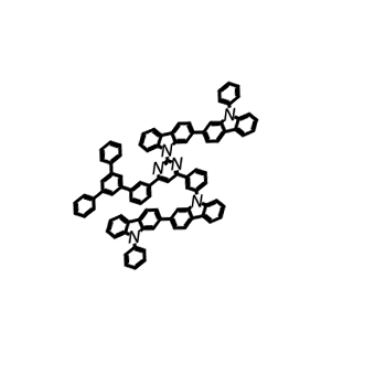 c1ccc(-c2cc(-c3ccccc3)cc(-c3cccc(-c4cc(-c5cccc(-n6c7ccccc7c7ccc(-c8ccc9c%10ccccc%10n(-c%10ccccc%10)c9c8)cc76)c5)nc(-n5c6ccccc6c6ccc(-c7ccc8c9ccccc9n(-c9ccccc9)c8c7)cc65)n4)c3)c2)cc1